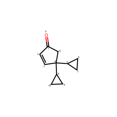 O=C1C=CC(C2CC2)(C2CC2)C1